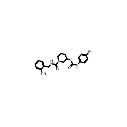 CCc1ccc(NC(=O)OC2CCCN(C(=O)NCc3ccccc3C)C2)cc1